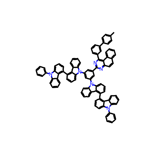 Cc1ccc(-c2cccc(-c3nc(-c4cc(-n5c6ccccc6c6c(-c7cccc8c7c7ccccc7n8-c7ccccc7)cccc65)cc(-n5c6ccccc6c6c(-c7cccc8c7c7ccccc7n8-c7ccccc7)cccc65)c4)nc4ccc5ccccc5c34)c2)cc1